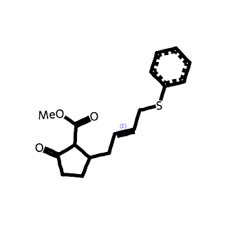 COC(=O)C1C(=O)CCC1C/C=C/CSc1ccccc1